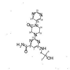 CC(C)(O)CNc1cc(C(N)=O)nc(N2CCN(c3cncnc3)C(=O)C2)n1